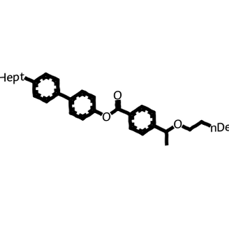 CCCCCCCCCCCCOC(C)c1ccc(C(=O)Oc2ccc(-c3ccc(CCCCCCC)cc3)cc2)cc1